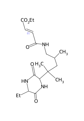 CCOC(=O)/C=C/C(=O)NCC(C)CC(C)(C)C1NC(=O)C(CC)NC1=O